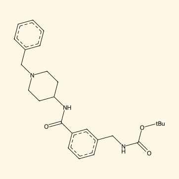 CC(C)(C)OC(=O)NCc1cccc(C(=O)NC2CCN(Cc3ccccc3)CC2)c1